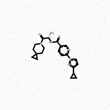 C[C@H](NC(=O)c1ccc(-n2ccc(C3CC3)n2)nc1)C(=O)N1CCC2(CC1)CC2